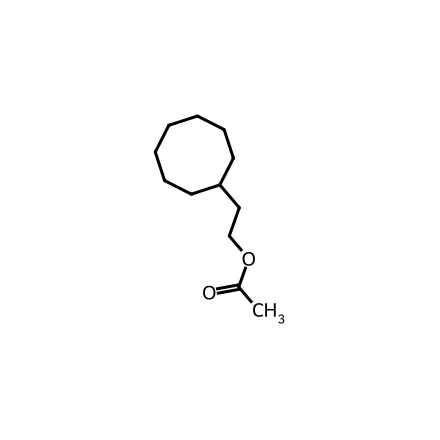 CC(=O)OCCC1CCCCCCC1